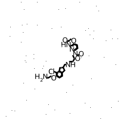 NCCOc1ccc2c(c1Cl)CC(CNCCC1CN(c3ccc4c(n3)NC(=O)CO4)C(=O)O1)C2